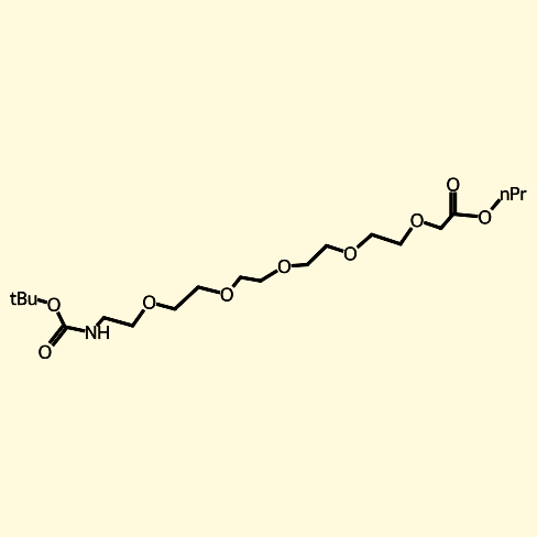 CCCOC(=O)COCCOCCOCCOCCOCCNC(=O)OC(C)(C)C